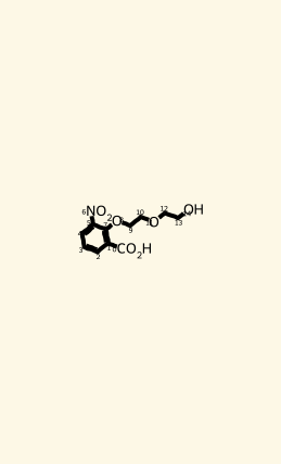 O=C(O)c1cccc([N+](=O)[O-])c1OCCOCCO